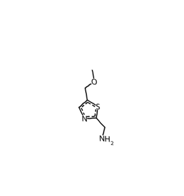 COCc1cnc(CN)s1